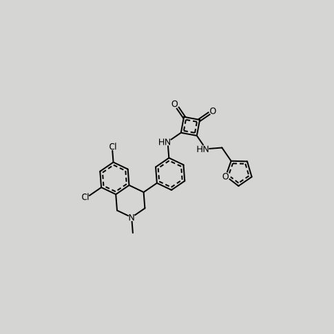 CN1Cc2c(Cl)cc(Cl)cc2C(c2cccc(Nc3c(NCc4ccco4)c(=O)c3=O)c2)C1